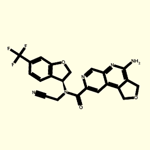 N#CCN(C(=O)c1cc2c3c(c(N)nc2cn1)COC3)[C@@H]1COc2cc(C(F)(F)F)ccc21